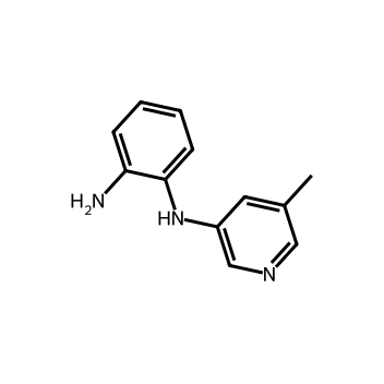 Cc1cncc(Nc2ccccc2N)c1